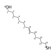 OCCCCCCCC=CCCCCCS